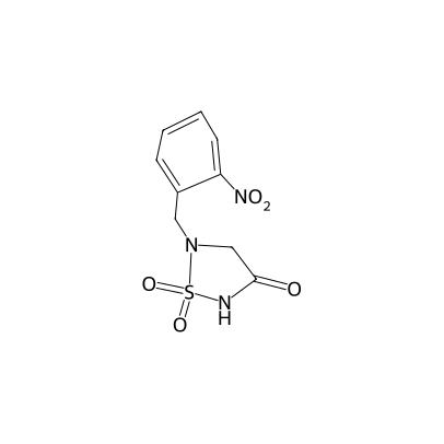 O=C1CN(Cc2ccccc2[N+](=O)[O-])S(=O)(=O)N1